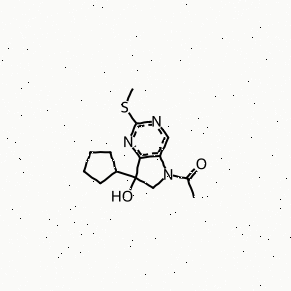 CSc1ncc2c(n1)C(O)(C1CCCC1)CN2C(C)=O